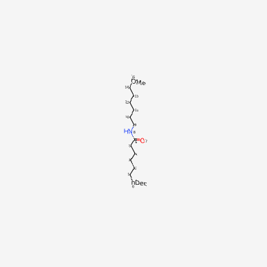 CCCCCCCCCCCCCCCC(=O)NCCCCCCOC